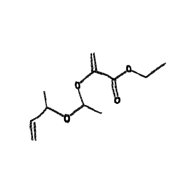 C=CC(C)OC(C)OC(=C)C(=O)OCC